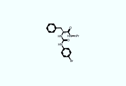 CCCNC(=O)[C@H](Cc1ccccc1)NC(=O)Nc1ccc(Br)cc1